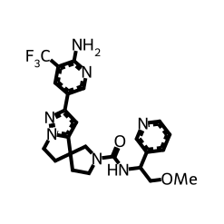 COCC(NC(=O)N1CCC2(CCn3nc(-c4cnc(N)c(C(F)(F)F)c4)cc32)C1)c1cccnc1